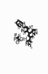 Cn1cc(-c2cc(-c3ccc(N4CC5CCC(C4)N5)nc3)c3c(C#N)cnn3c2)cn1.O=C(O)C(F)(F)F